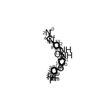 CN(C)C1CCN(c2ccc(NC(=O)Nc3ccc(Oc4cccc(C(F)(F)F)c4)cc3)cc2)C1